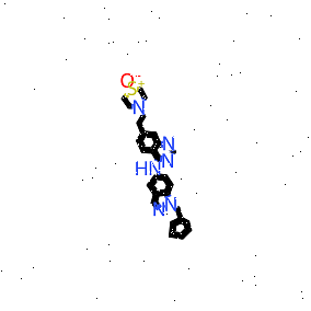 [O-][S+]1CCN(CCc2ccc3c(Nc4ccc5c(cnn5Cc5ccccc5)c4)ncnc3c2)CC1